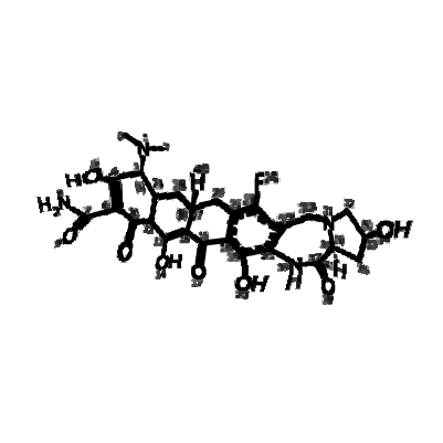 CN(C)[C@@H]1C(O)=C(C(N)=O)C(=O)C2C(O)=C3C(=O)c4c(O)c5c(c(F)c4C[C@H]3CC21)CN1C[C@@H](O)C[C@H]1C(=O)N5